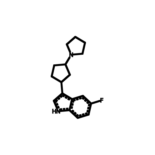 Fc1ccc2[nH]cc(C3CCC(N4CCCC4)C3)c2c1